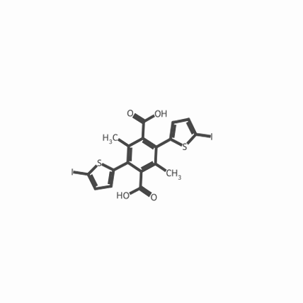 Cc1c(C(=O)O)c(-c2ccc(I)s2)c(C)c(C(=O)O)c1-c1ccc(I)s1